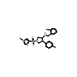 Cn1cnc(S(=O)(=O)N2CC(NCc3ccccc3F)C(c3ccc(F)cc3)C2)c1